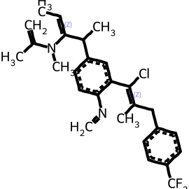 C=Nc1ccc(C(C)/C(=C/C)N(C)C(=C)C)cc1/C(Cl)=C(\C)Cc1ccc(C(F)(F)F)cc1